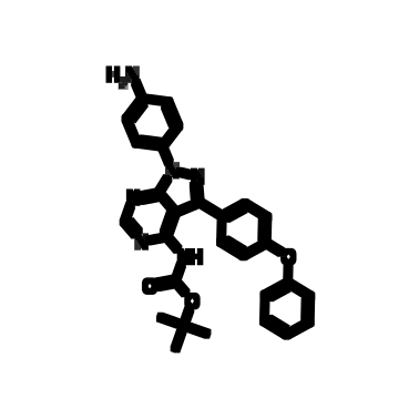 CC(C)(C)OC(=O)Nc1ncnc2c1c(-c1ccc(Oc3ccccc3)cc1)nn2-c1ccc(N)cc1